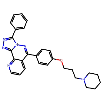 c1ccc(-c2nnc3c4ncccc4c(-c4ccc(OCCCN5CCCCC5)cc4)nn23)cc1